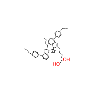 CCCCC1=Cc2c(-c3ccc(CCC)cc3)cccc2[CH]1[Zr][CH]1C(CCCC)=Cc2c(-c3ccc(CCC)cc3)cccc21.OCCO